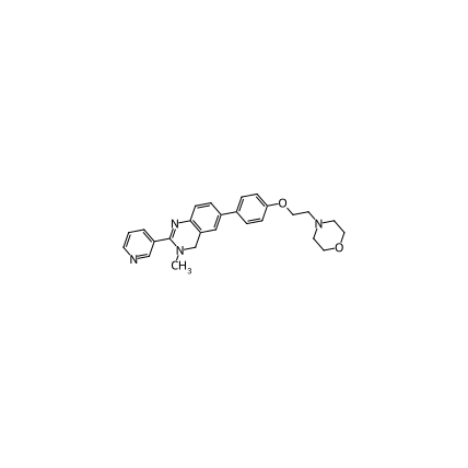 CN1Cc2cc(-c3ccc(OCCN4CCOCC4)cc3)ccc2N=C1c1cccnc1